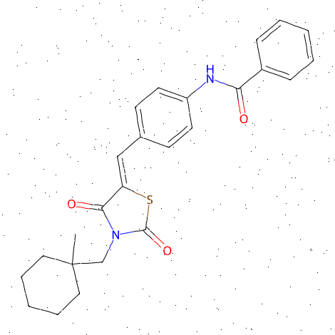 CC1(CN2C(=O)S/C(=C\c3ccc(NC(=O)c4ccccc4)cc3)C2=O)CCCCC1